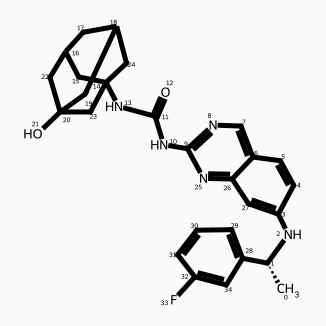 C[C@@H](Nc1ccc2cnc(NC(=O)NC34CC5CC(CC(O)(C5)C3)C4)nc2c1)c1cccc(F)c1